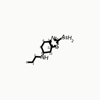 CCCN[C@H]1CCc2nc([AsH2])sc2C1